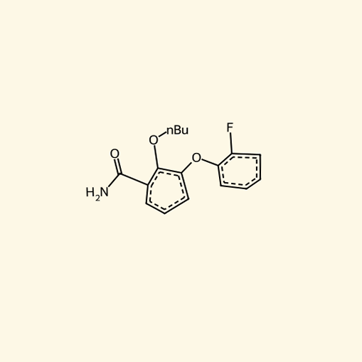 CCCCOc1c(Oc2ccccc2F)cccc1C(N)=O